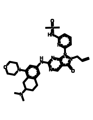 C=CCn1c(=O)c2cnc(Nc3cc4c(c(N5CCOCC5)c3)CC(N(C)C)CC4)nc2n1-c1cccc(N[SH](C)(C)=O)n1